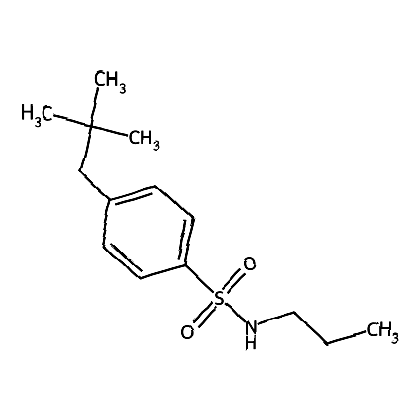 CCCNS(=O)(=O)c1ccc(CC(C)(C)C)cc1